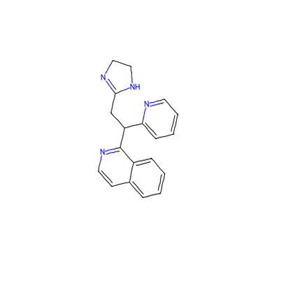 c1ccc(C(CC2=NCCN2)c2nccc3ccccc23)nc1